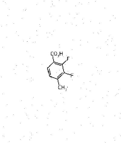 [CH2]c1ccc(C(=O)O)c(F)c1F